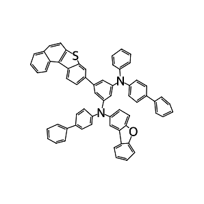 c1ccc(-c2ccc(N(c3ccccc3)c3cc(-c4ccc5c(c4)sc4ccc6ccccc6c45)cc(N(c4ccc(-c5ccccc5)cc4)c4ccc5oc6ccccc6c5c4)c3)cc2)cc1